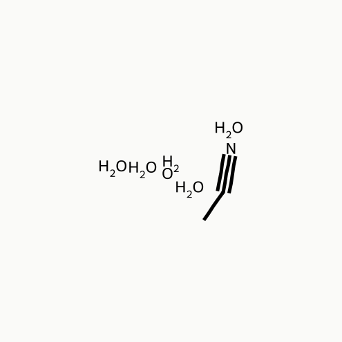 CC#N.O.O.O.O.O